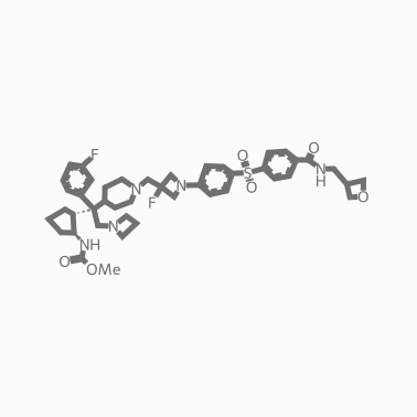 COC(=O)N[C@H]1CCC[C@@H]1C(CN1CCC1)(c1cccc(F)c1)C1CCN(CC2(F)CN(c3ccc(S(=O)(=O)c4ccc(C(=O)NCC5COC5)cc4)cc3)C2)CC1